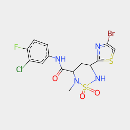 CN1C(C(=O)Nc2ccc(F)c(Cl)c2)CC(c2nc(Br)cs2)NS1(=O)=O